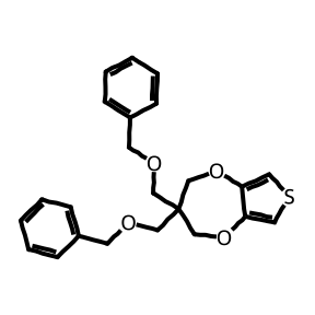 c1ccc(COCC2(COCc3ccccc3)COc3cscc3OC2)cc1